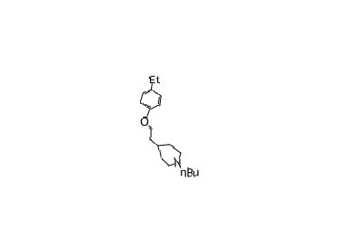 CCCCN1CCC(CCOc2ccc(CC)cc2)CC1